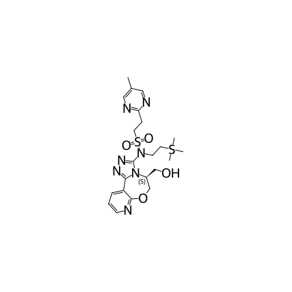 Cc1cnc(CCS(=O)(=O)N(CCS(C)(C)C)c2nnc3n2[C@@H](CO)COc2ncccc2-3)nc1